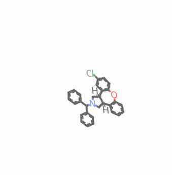 Clc1ccc2c(c1)[C@H]1CN(C(c3ccccc3)c3ccccc3)C[C@@H]1c1ccccc1O2